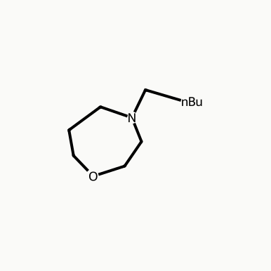 CCCCCN1CCCOCC1